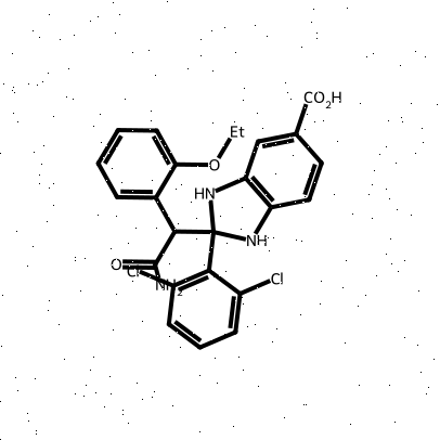 CCOc1ccccc1C(C(N)=O)C1(c2c(Cl)cccc2Cl)Nc2ccc(C(=O)O)cc2N1